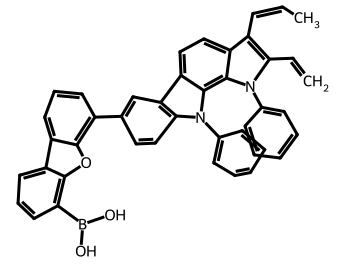 C=Cc1c(/C=C\C)c2ccc3c4cc(-c5cccc6c5oc5c(B(O)O)cccc56)ccc4n(-c4ccccc4)c3c2n1-c1ccccc1